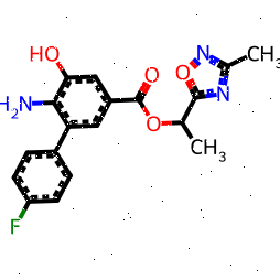 Cc1noc(C(C)OC(=O)c2cc(O)c(N)c(-c3ccc(F)cc3)c2)n1